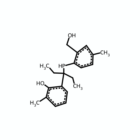 CCC(CC)(Pc1ccc(C)cc1CO)c1cccc(C)c1O